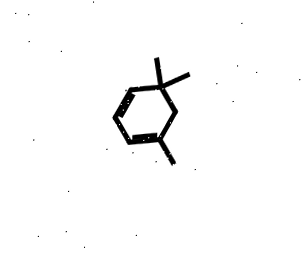 CC1=CC=[C]C(C)(C)C1